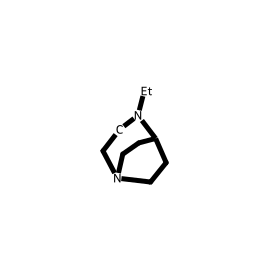 CCN1CCN2CCC1CC2